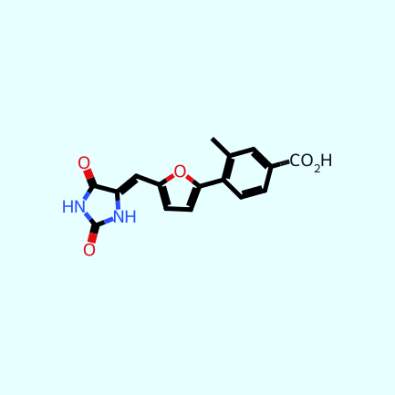 Cc1cc(C(=O)O)ccc1-c1ccc(/C=C2\NC(=O)NC2=O)o1